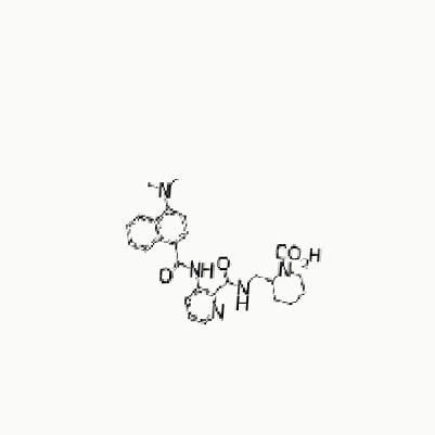 CN(C)c1ccc(C(=O)Nc2cccnc2C(=O)NCC2CCCCN2C(=O)O)c2ccccc12